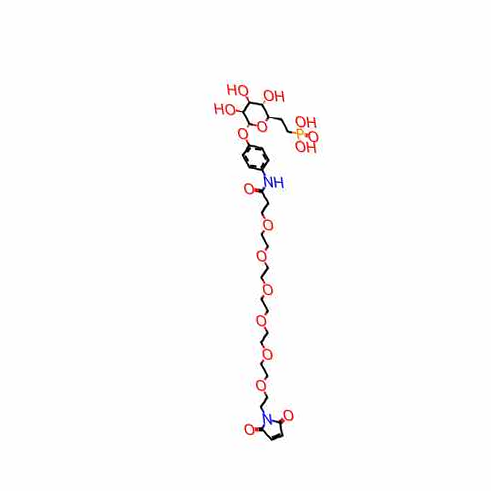 O=C(CCOCCOCCOCCOCCOCCOCCN1C(=O)C=CC1=O)Nc1ccc(O[C@H]2O[C@H](CCP(=O)(O)O)[C@@H](O)[C@H](O)[C@@H]2O)cc1